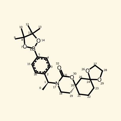 C[C@@H](c1ccc(B2OC(C)(C)C(C)(C)O2)cc1)N1CC[C@]2(CCCC3(C2)OCCO3)OC1=O